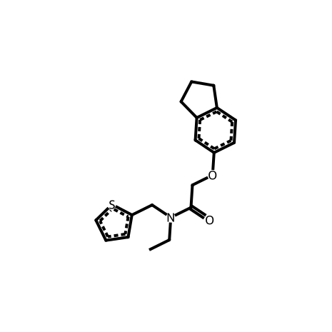 CCN(Cc1cccs1)C(=O)COc1ccc2c(c1)CCC2